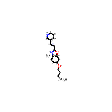 O=S(=O)(O)CCCOc1ccc2nc(/C=C/c3cccnc3)oc2c1.[NaH]